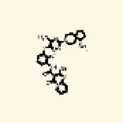 Nc1nc(N2CCC3(CCC[C@H]3N)CC2)nnc1Sc1cccc(NC(=O)c2c(O)nc3ccccn3c2=O)c1Cl